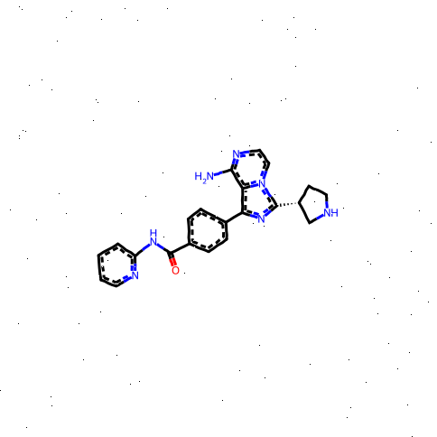 Nc1nccn2c([C@@H]3CCNC3)nc(-c3ccc(C(=O)Nc4ccccn4)cc3)c12